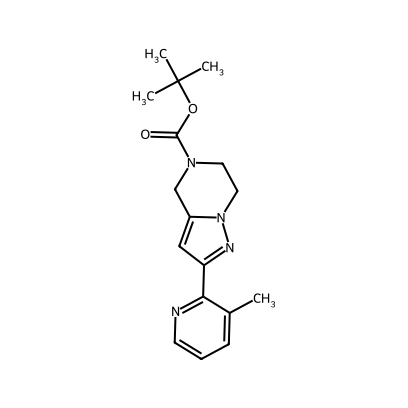 Cc1cccnc1-c1cc2n(n1)CCN(C(=O)OC(C)(C)C)C2